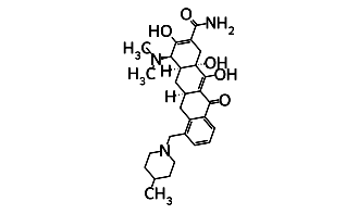 CC1CCN(Cc2cccc3c2C[C@H]2C[C@H]4[C@@H](N(C)C)C(O)=C(C(N)=O)C[C@@]4(O)C(O)=C2C3=O)CC1